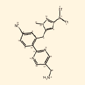 CCN(CC)c1cc(Cc2cc(C#N)ccc2-c2ncc(CN)cn2)n(C)n1